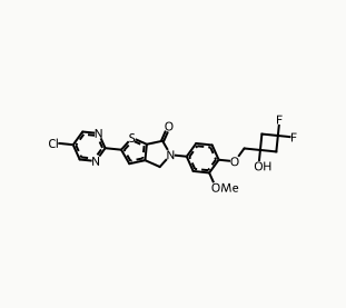 COc1cc(N2Cc3cc(-c4ncc(Cl)cn4)sc3C2=O)ccc1OCC1(O)CC(F)(F)C1